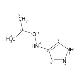 CC(C)ONc1cn[nH]c1